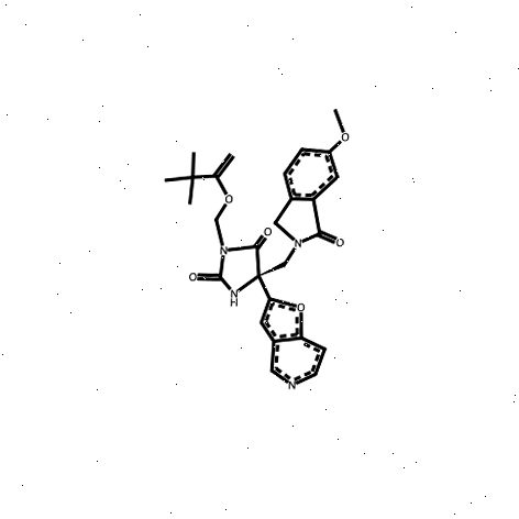 C=C(OCN1C(=O)N[C@@](CN2Cc3ccc(OC)cc3C2=O)(c2cc3cnccc3o2)C1=O)C(C)(C)C